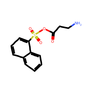 NCCC(=O)OS(=O)(=O)c1cccc2ccccc12